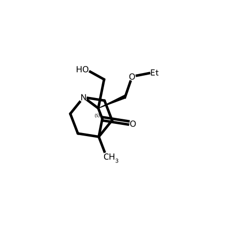 CCOC[C@@]1(CO)C(=O)C2(C)CCN1CC2